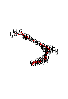 CCCCCCCCCC(CCCC)CSC1CC(=O)N(CCC(=O)NCCOCCOCCOCCOCCOCCOCCOCCOCCC(=O)N[C@H](C(=O)N[C@@H](C)C(=O)Nc2ccc(C3=CN4C(=O)c5cc(OC)c(OCCCOc6cc7c(cc6OC)C(=O)N6C=C(c8ccc9c(c8)OCO9)C[C@H]6C=N7)cc5N=C[C@@H]4C3)cc2)C(C)C)C1=O